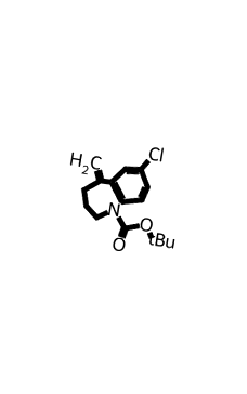 C=C1CCCN(C(=O)OC(C)(C)C)c2ccc(Cl)cc21